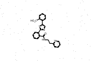 O=C(O)c1ccccc1-c1cnc(-c2ccccc2C(=O)NCCc2ccccn2)s1